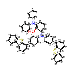 Oc1c(N(c2ccccc2)c2ccccc2)cccc1N(c1ccc(-c2cccc3c2sc2ccccc23)cc1)c1ccc(-c2cccc3c2sc2ccccc23)cc1